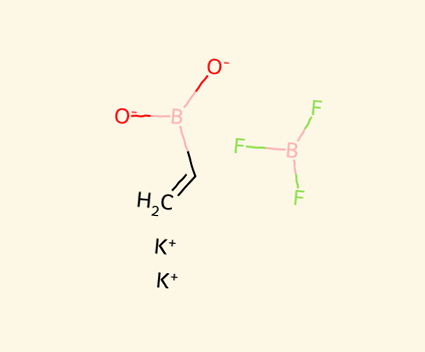 C=CB([O-])[O-].FB(F)F.[K+].[K+]